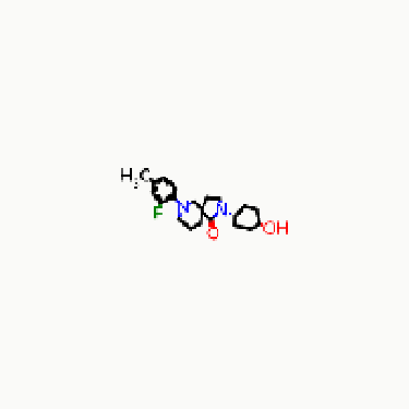 Cc1ccc(N2CCC[C@]3(CCN([C@H]4CC[C@H](O)CC4)C3=O)C2)c(F)c1